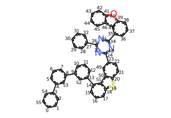 c1ccc(-c2cccc(-c3cccc(-c4cccc5sc6ccc(-c7nc(-c8ccccc8)nc(-c8cccc9oc%10ccccc%10c89)n7)cc6c45)c3)c2)cc1